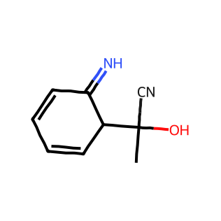 CC(O)(C#N)C1C=CC=CC1=N